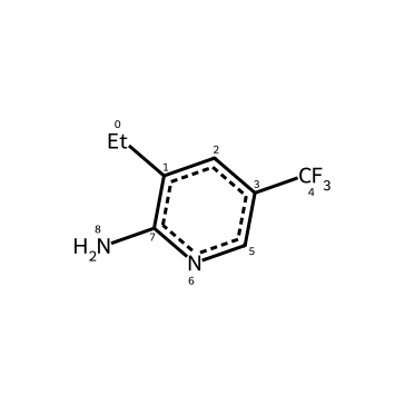 CCc1cc(C(F)(F)F)cnc1N